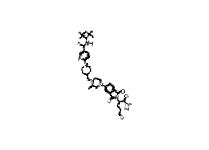 CNC(=O)C(CCC=O)N1C(=O)c2ccc(N3CCN(CC4CCN(c5ccc(C(=O)NC6C(C)(C)CC6(C)C)cn5)CC4)C(C)C3)cc2C1=O